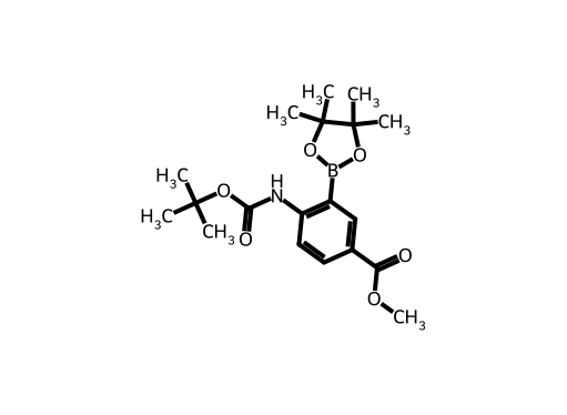 COC(=O)c1ccc(NC(=O)OC(C)(C)C)c(B2OC(C)(C)C(C)(C)O2)c1